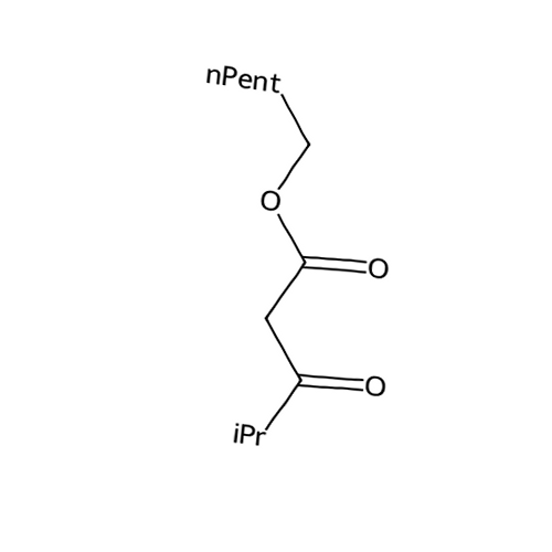 CCCCCCOC(=O)CC(=O)C(C)C